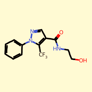 O=C(NCCO)c1cnn(-c2ccccc2)c1C(F)(F)F